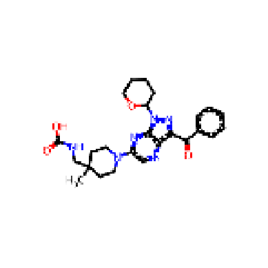 CC1(CNC(=O)O)CCN(c2cnc3c(C(=O)c4ccccc4)nn(C4CCCCO4)c3n2)CC1